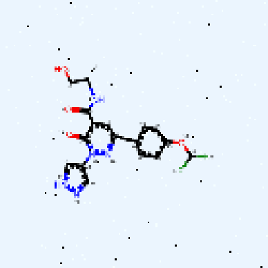 C[C@@H](CO)NC(=O)c1cc(-c2ccc(OC(F)F)cc2)nn(-c2cn[nH]c2)c1=O